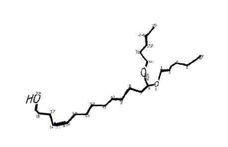 CCCCCOC(CCCCCCCC/C=C\CCO)OCCCCC